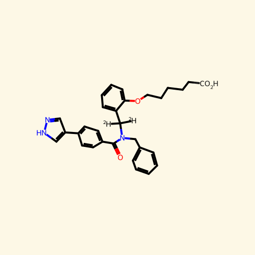 [2H]C([2H])(c1ccccc1OCCCCCC(=O)O)N(Cc1ccccc1)C(=O)c1ccc(-c2cn[nH]c2)cc1